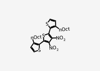 CCCCCCCCc1ccsc1-c1sc(-c2sccc2CCCCCCCC)c([N+](=O)[O-])c1[N+](=O)[O-]